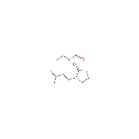 CC(C)CCC1CCCC1=O.CCOC=O